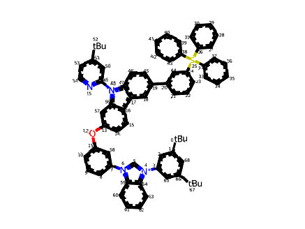 CC(C)(C)c1cc(-[n+]2cn(-c3cccc(Oc4ccc5c6cc(-c7cccc(S(c8ccccc8)(c8ccccc8)c8ccccc8)c7)ccc6n(-c6cc(C(C)(C)C)ccn6)c5c4)c3)c3ccccc32)cc(C(C)(C)C)c1